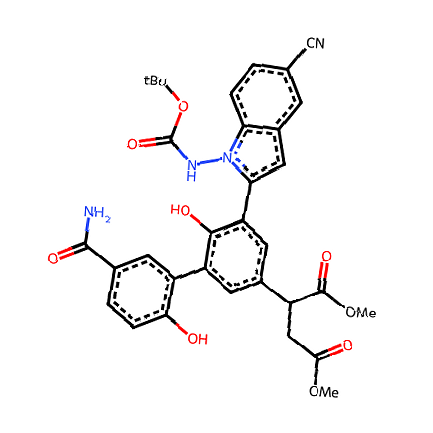 COC(=O)CC(C(=O)OC)c1cc(-c2cc(C(N)=O)ccc2O)c(O)c(-c2cc3cc(C#N)ccc3n2NC(=O)OC(C)(C)C)c1